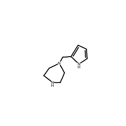 [CH](c1ccc[nH]1)N1CCNCC1